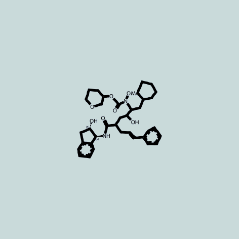 CON(C(=O)OC1CCCOC1)C(CC1CCCCC1)C(O)CC(CC=Cc1ccccc1)C(=O)N[C@H]1c2ccccc2C[C@@H]1O